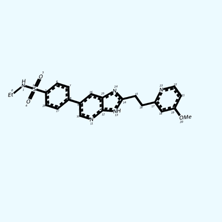 CCNS(=O)(=O)c1ccc(-c2cnc3[nH]c(CCc4cc(OC)ccn4)nc3c2)cc1